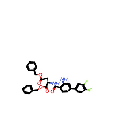 Nc1cc(-c2ccc(F)c(F)c2)ccc1C(=O)N[C@H](CC(=O)OCc1ccccc1)C(=O)OCc1ccccc1